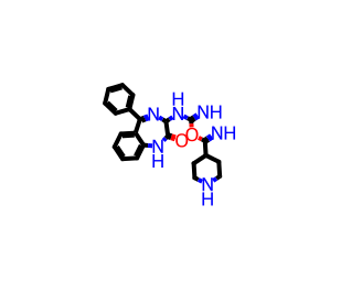 N=C(NC1N=C(c2ccccc2)c2ccccc2NC1=O)OC(=N)C1CCNCC1